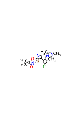 Cc1cc(Cl)cc(-c2ccnc3cc(CN4C(=O)C5C(C4=O)C5(C)C)sc23)c1CN1CCN(C)C[C@@H]1C